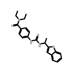 CCN(CC)C(=O)c1ccc(NC(=O)NC(C)c2cc3ccccc3o2)cc1